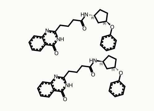 O=C(CCCc1nc2ccccc2c(=O)[nH]1)N[C@@H]1CC[C@@H](Oc2ccccc2)C1.O=C(CCCc1nc2ccccc2c(=O)[nH]1)N[C@H]1CC[C@H](Oc2ccccc2)C1